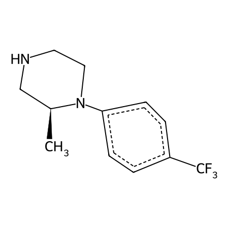 C[C@H]1CNCCN1c1ccc(C(F)(F)F)cc1